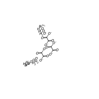 O.O.O.O.O.O.O.O=C([O-])C(=O)[O-].O=C([O-])C(=O)[O-].O=C([O-])C(=O)[O-].[Bi+3].[Bi+3]